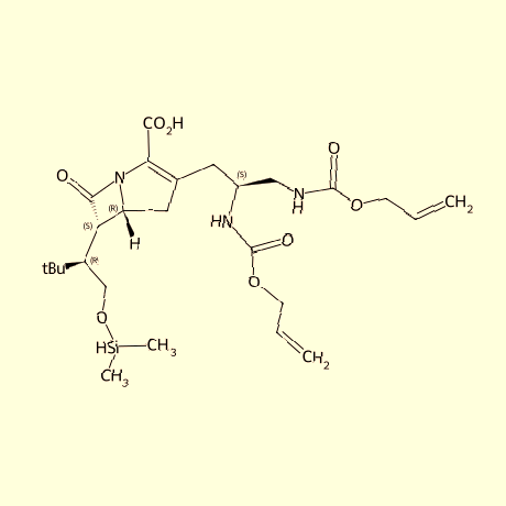 C=CCOC(=O)NC[C@H](CC1=C(C(=O)O)N2C(=O)[C@@H]([C@@H](CO[SiH](C)C)C(C)(C)C)[C@H]2C1)NC(=O)OCC=C